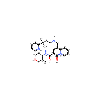 CCC(C#N)(CCN(C)Cc1cc(C(=O)N[C@H]2CCOC[C@@H]2C)c(=O)n2ccccc12)c1ccccn1